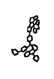 c1ccc(-c2ccc(N(c3ccc(-c4ccc5c(c4)C4(c6ccccc6Sc6ccccc64)c4c-5ccc5ccccc45)cc3)c3cccc4c3c3ccccc3n4-c3ccccc3)cc2)cc1